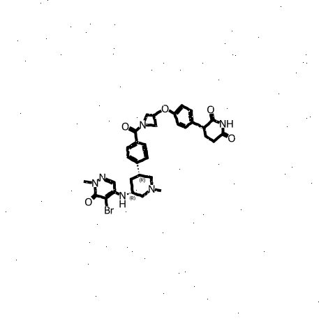 CN1C[C@H](Nc2cnn(C)c(=O)c2Br)C[C@H](c2ccc(C(=O)N3CC(Oc4ccc(C5CCC(=O)NC5=O)cc4)C3)cc2)C1